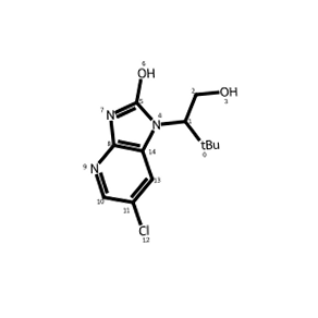 CC(C)(C)C(CO)n1c(O)nc2ncc(Cl)cc21